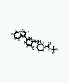 CC(C)(C)OC(=O)N1CCCC(Nc2nc(-c3cnn4ccccc34)ncc2Cl)C1